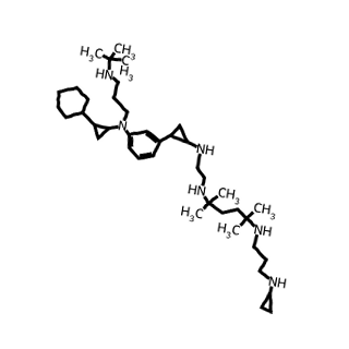 CC(C)(C)NCCCN(c1cccc(C2CC2NCCNC(C)(C)CCC(C)(C)NCCCNC2CC2)c1)C1CC1C1CCCCC1